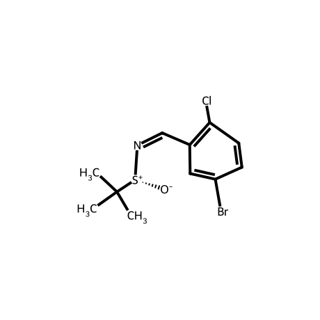 CC(C)(C)[S@@+]([O-])/N=C\c1cc(Br)ccc1Cl